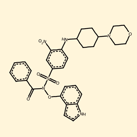 O=C(c1ccccc1)N(Oc1cccc2[nH]ccc12)S(=O)(=O)c1ccc(NC2CCC(N3CCOCC3)CC2)c([N+](=O)[O-])c1